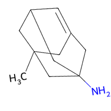 CC12CC3=CC(C1)CC(N)(C3)C2